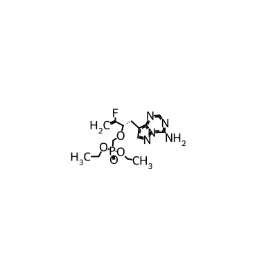 C=C(F)[C@H](Cc1cnn2c(N)ncnc12)OCP(=O)(OCC)OCC